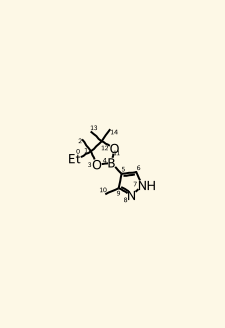 CCC1(C)OB(c2c[nH]nc2C)OC1(C)C